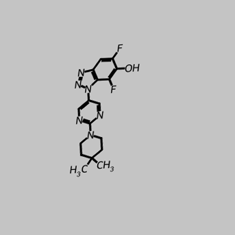 CC1(C)CCN(c2ncc(-n3nnc4cc(F)c(O)c(F)c43)cn2)CC1